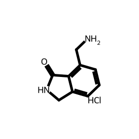 Cl.NCc1cccc2c1C(=O)NC2